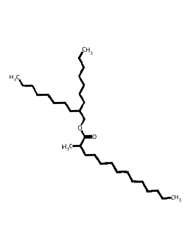 CCCCCCCCCCCCC(C)C(=O)OCC(CCCCCCC)CCCCCCCC